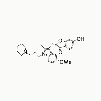 COc1ccc2c(c1)c(C=C1Oc3cc(O)ccc3C1=O)c(C)n2CCCN1CCCCC1